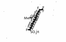 CNC.O=S(=O)(O)C(F)C(F)(F)C(F)(F)C(F)(F)C(F)(F)C(F)(F)C(F)(F)C(F)(F)C(F)(F)C(F)(F)C(F)C(F)F